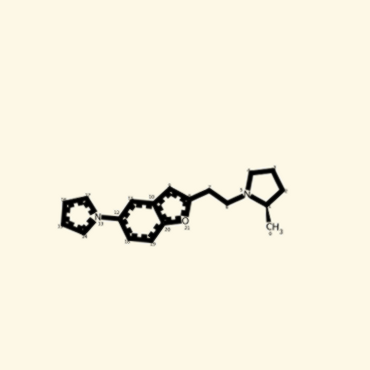 C[C@@H]1CCCN1CCc1cc2cc(-n3cccc3)ccc2o1